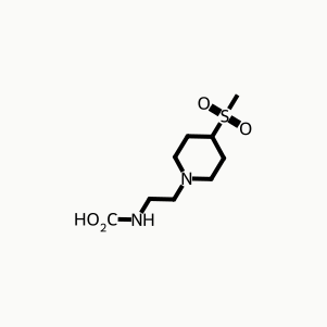 CS(=O)(=O)C1CCN(CCNC(=O)O)CC1